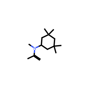 C=C(C)N(C)C1CC(C)(C)CC(C)(C)C1